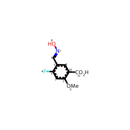 COc1cc(F)c(C=NO)cc1C(=O)O